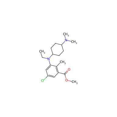 CCN(c1cc(Cl)cc(C(=O)OC)c1C)C1CCC(N(C)C)CC1